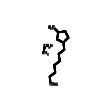 CC(=O)O.CCCCCCCCCCCCCCCCN1CCC(C)C1